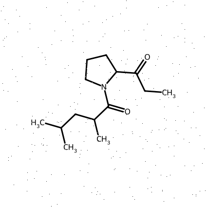 CCC(=O)C1CCCN1C(=O)C(C)CC(C)C